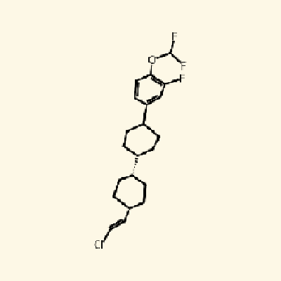 Fc1cc(C2CCC([C@H]3CC[C@H](/C=C/Cl)CC3)CC2)ccc1OC(F)F